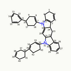 C1=CC2=C(CC1)N(C1=CCC(c3ccccc3)CC1)C1=CC3C(CC12)c1ccccc1N3C1=CC=C(C2CC=CCC2)CC1